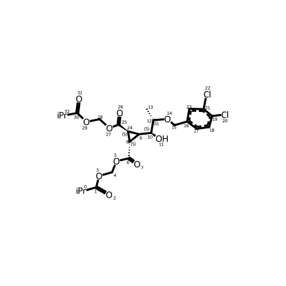 CC(C)C(=O)OCOC(=O)[C@H]1C([C@H](O)[C@H](C)OCc2ccc(Cl)c(Cl)c2)[C@@H]1C(=O)OCOC(=O)C(C)C